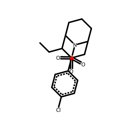 CCC1C(=O)CC2CCCC1N2S(=O)(=O)c1ccc(Cl)cc1